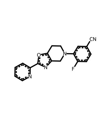 N#Cc1ccc(F)c(N2CCc3oc(-c4ccccn4)nc3C2)c1